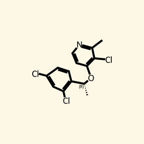 Cc1nccc(O[C@H](C)c2ccc(Cl)cc2Cl)c1Cl